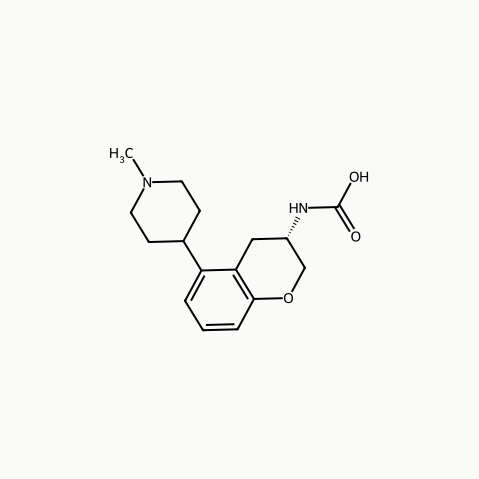 CN1CCC(c2cccc3c2C[C@H](NC(=O)O)CO3)CC1